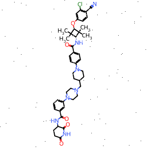 CC1(C)[C@H](NC(=O)c2ccc(N3CCC(CN4CCN(c5cccc(C(=O)NC6CCC(=O)NC6=O)c5)CC4)CC3)cc2)C(C)(C)[C@H]1Oc1ccc(C#N)c(Cl)c1